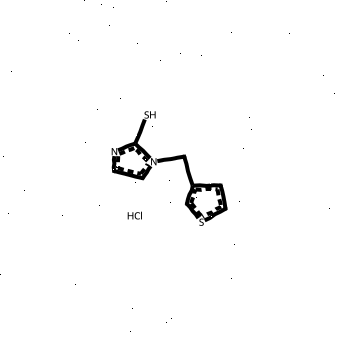 Cl.Sc1nccn1Cc1ccsc1